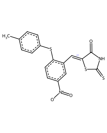 Cc1ccc(Sc2ccc([N+](=O)[O-])cc2/C=C2\SC(=S)NC2=O)cc1